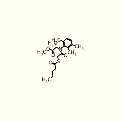 CCCCC(=O)SCC(=O)N(c1c(C)ccc(C)c1C)[C@@H](C)C(=O)OC